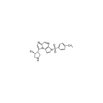 CC[C@@H]1CNCC1c1cnc2cnc3c(ccn3S(=O)(=O)c3ccc(C)cc3)n12